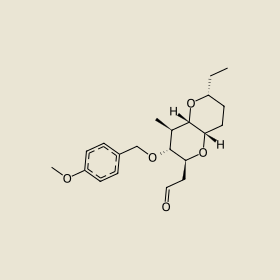 CC[C@@H]1CC[C@@H]2O[C@@H](CC=O)[C@H](OCc3ccc(OC)cc3)[C@@H](C)[C@@H]2O1